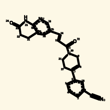 N#Cc1cccc(C2=CCN(C(=O)C=Cc3cnc4c(c3)CCC(=O)N4)CC2)c1